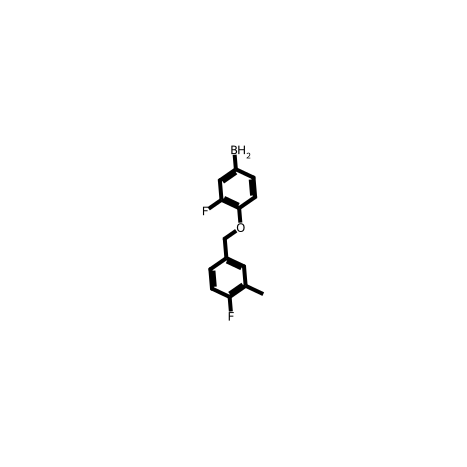 Bc1ccc(OCc2ccc(F)c(C)c2)c(F)c1